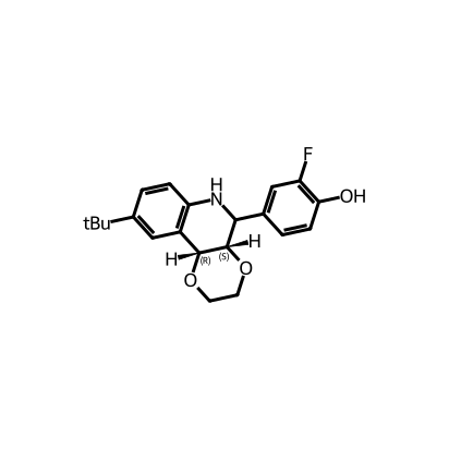 CC(C)(C)c1ccc2c(c1)[C@H]1OCCO[C@H]1C(c1ccc(O)c(F)c1)N2